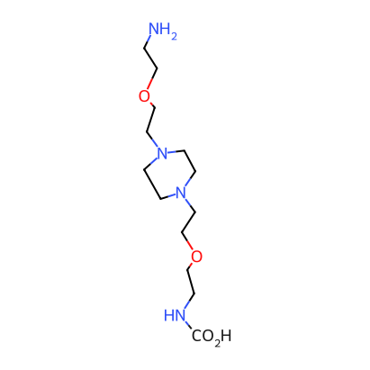 NCCOCCN1CCN(CCOCCNC(=O)O)CC1